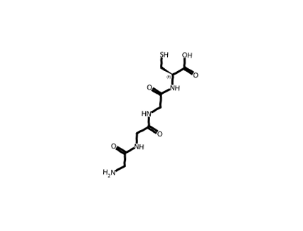 NCC(=O)NCC(=O)NCC(=O)N[C@@H](CS)C(=O)O